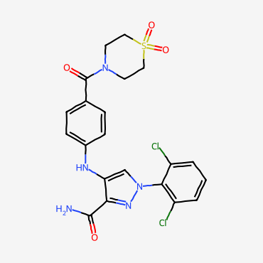 NC(=O)c1nn(-c2c(Cl)cccc2Cl)cc1Nc1ccc(C(=O)N2CCS(=O)(=O)CC2)cc1